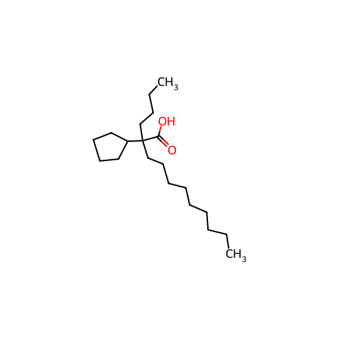 CCCCCCCCCC(CCCC)(C(=O)O)C1CCCC1